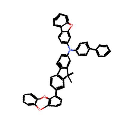 CC1(C)c2cc(-c3cccc4c3Oc3ccccc3O4)ccc2-c2ccc(N(c3ccc(-c4ccccc4)cc3)c3ccc4c(c3)oc3ccccc34)cc21